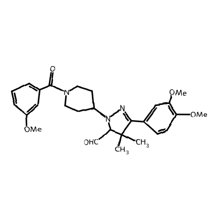 COc1cccc(C(=O)N2CCC(N3N=C(c4ccc(OC)c(OC)c4)C(C)(C)C3C=O)CC2)c1